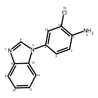 Nc1ccc(-n2cnc3ccccc32)cc1Cl